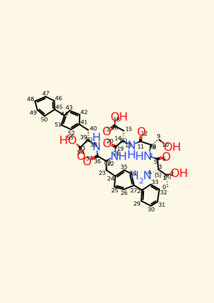 C[C@@H](O)[C@H](N)C(=O)N[C@@H](CO)C(=O)N[C@@H](CC(=O)O)C(=O)N[C@@H](Cc1ccc(-c2ccccc2)cc1)C(=O)N[C@@H](Cc1ccc(-c2ccccc2)cc1)C(=O)O